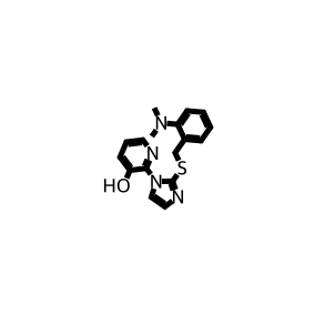 CN(C)c1ccccc1CSc1nccn1-c1ncccc1O